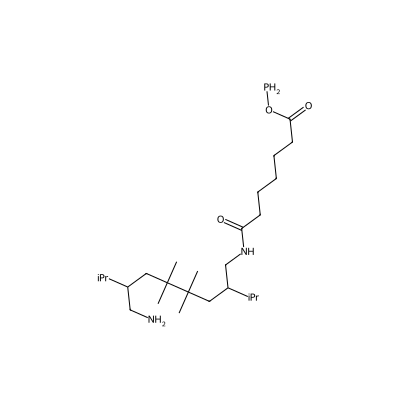 CC(C)C(CN)CC(C)(C)C(C)(C)CC(CNC(=O)CCCCCC(=O)OP)C(C)C